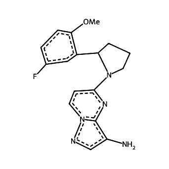 COc1ccc(F)cc1C1CCCN1c1ccn2ncc(N)c2n1